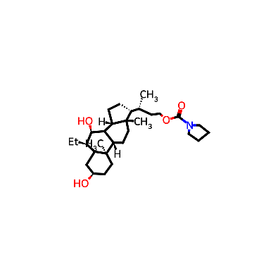 CC[C@@H]1C2C[C@H](O)CC[C@]2(C)[C@H]2CCC3(C)[C@@H]([C@H](C)CCOC(=O)N4CCCC4)CC[C@H]3C2[C@@H]1O